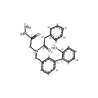 CCCCNC(=O)CN(Cc1cccc(-c2ccccc2O)c1)C(=O)Cc1ccccc1